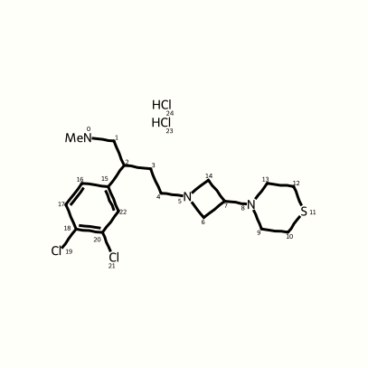 CNCC(CCN1CC(N2CCSCC2)C1)c1ccc(Cl)c(Cl)c1.Cl.Cl